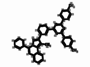 Cc1ccc(-c2nc(-c3ccc(C)cc3)nc(-c3cccc(-c4nn5c(-c6ccccc6)cc6ccccc6c5c4C)c3)n2)cc1